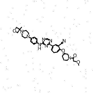 COCC(=O)N1CCC[C@H](OC2=CCC=C(c3ncnc(Nc4ccc(N5CCN(C6(C)COC6)CC5)cc4)n3)C=C2C#N)C1